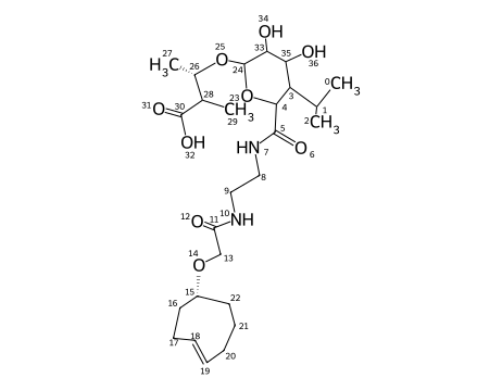 CC(C)C1C(C(=O)NCCNC(=O)CO[C@H]2CC/C=C/CCC2)OC(O[C@@H](C)C(C)C(=O)O)C(O)C1O